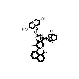 CCc1cccc2cccc(-c3ncc4c(N5C[C@H]6CC[C@@H](C5)N6C(=O)O)nc(OC[C@@]56C[C@H](O)CN5C[C@H](O)C6)nc4c3F)c12